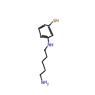 NCCCCCNc1cccc(S)c1